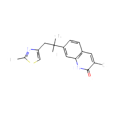 CCc1cc2ccc(C(C)(C#N)Cc3csc(C)n3)cc2[nH]c1=O